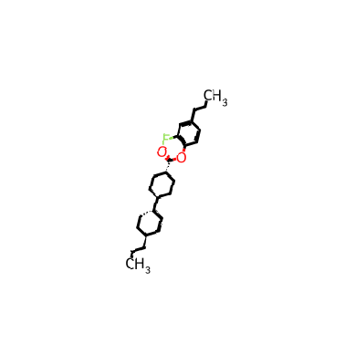 CCCc1ccc(OC(=O)[C@H]2CC[C@H]([C@H]3CC[C@H](CCC)CC3)CC2)c(F)c1